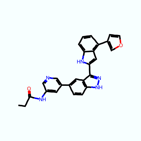 CCC(=O)Nc1cncc(-c2ccc3[nH]nc(-c4cc5c(-c6ccoc6)cccc5[nH]4)c3c2)c1